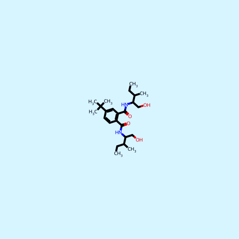 CCC(C)C(CO)NC(=O)c1ccc(C(C)(C)C)cc1C(=O)NC(CO)C(C)CC